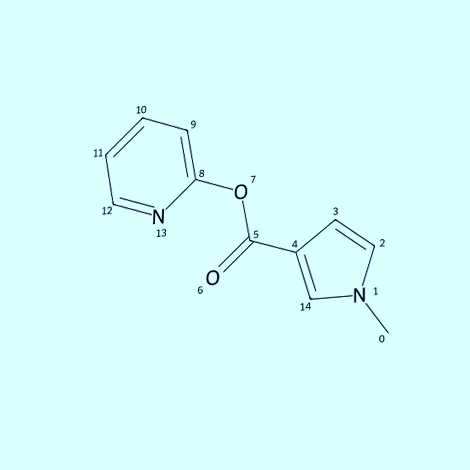 Cn1ccc(C(=O)Oc2ccccn2)c1